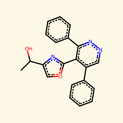 CC(O)c1coc(-c2c(-c3ccccc3)cnnc2-c2ccccc2)n1